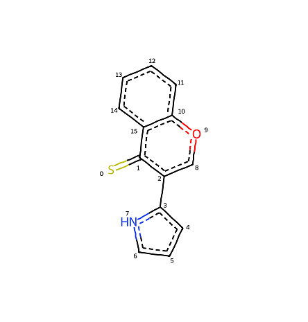 S=c1c(-c2ccc[nH]2)coc2ccccc12